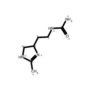 CC1=NC(CCNC(N)=O)CN1